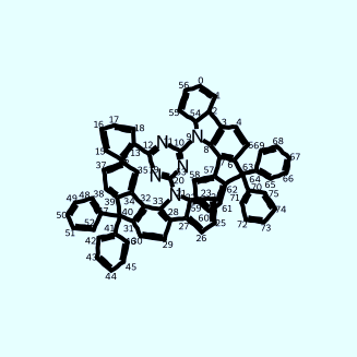 C1=CC2c3ccc4c(c3N(c3nc(-c5ccccc5)nc(-n5c6ccccc6c6ccc7c(c65)-c5ccccc5C7(c5ccccc5)c5ccccc5)n3)C2C=C1)-c1ccccc1C4(c1ccccc1)c1ccccc1